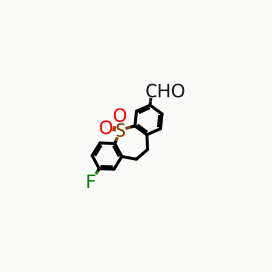 O=Cc1ccc2c(c1)S(=O)(=O)c1ccc(F)cc1CC2